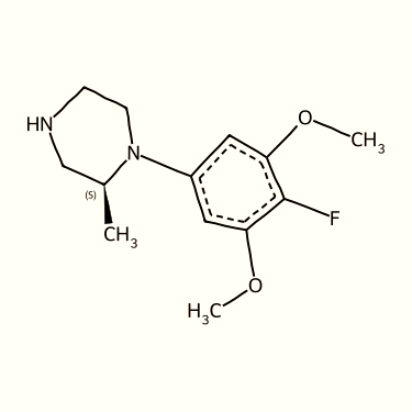 COc1cc(N2CCNC[C@@H]2C)cc(OC)c1F